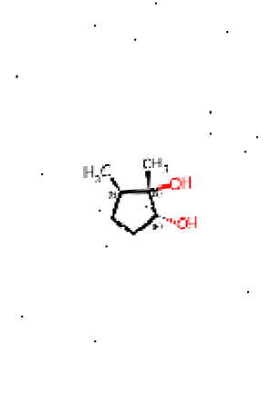 C[C@@H]1CC[C@@H](O)[C@@]1(C)O